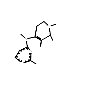 Cc1nccc(N(N)C2=C(N)C(C)N(C=O)CC2)n1